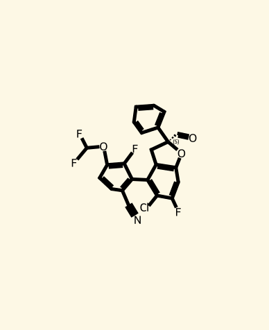 N#Cc1ccc(OC(F)F)c(F)c1-c1c(Cl)c(F)cc2c1C[C@@](C=O)(c1ccccc1)O2